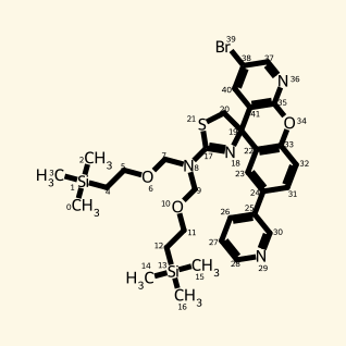 C[Si](C)(C)CCOCN(COCC[Si](C)(C)C)C1=NC2(CS1)c1cc(-c3cccnc3)ccc1Oc1ncc(Br)cc12